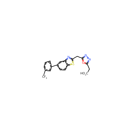 O=C(O)Cc1nnc(Cc2nc3cc(-c4cccc(C(F)(F)F)c4)ccc3s2)o1